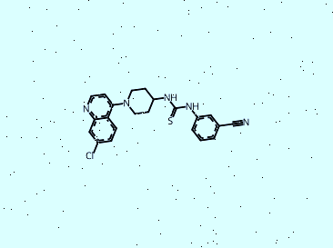 N#Cc1cccc(NC(=S)NC2CCN(c3ccnc4cc(Cl)ccc34)CC2)c1